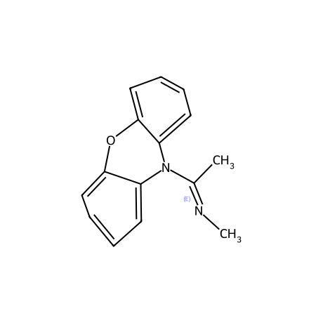 C/N=C(\C)N1c2ccccc2Oc2ccccc21